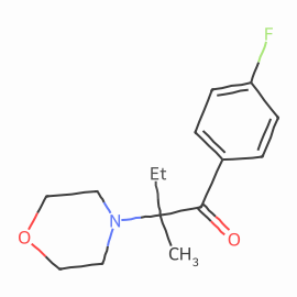 CCC(C)(C(=O)c1ccc(F)cc1)N1CCOCC1